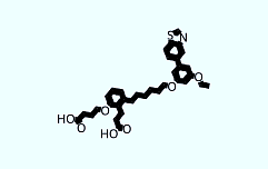 CCOc1cc(OCCCCCCc2cccc(OCCCC(=O)O)c2CCC(=O)O)cc(-c2ccc3scnc3c2)c1